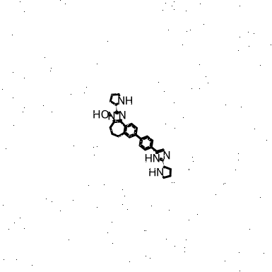 On1c([C@@H]2CCCN2)nc2c1CCCc1cc(-c3ccc(-c4cnc([C@@H]5CCCN5)[nH]4)cc3)ccc1-2